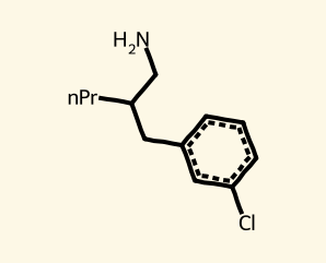 CCCC(CN)Cc1cccc(Cl)c1